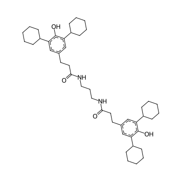 O=C(CCc1cc(C2CCCCC2)c(O)c(C2CCCCC2)c1)NCCCNC(=O)CCc1cc(C2CCCCC2)c(O)c(C2CCCCC2)c1